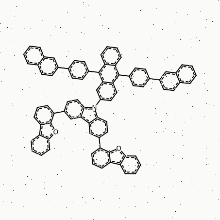 c1ccc2cc(-c3ccc(-c4c5ccccc5c(-c5ccc(-c6ccc7ccccc7c6)cc5)c5cc(-n6c7ccc(-c8cccc9c8oc8ccccc89)cc7c7cc(-c8cccc9c8oc8ccccc89)ccc76)ccc45)cc3)ccc2c1